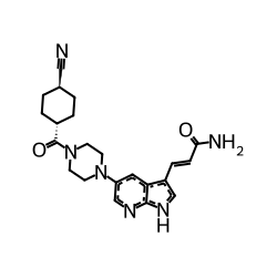 N#C[C@H]1CC[C@H](C(=O)N2CCN(c3cnc4[nH]cc(/C=C/C(N)=O)c4c3)CC2)CC1